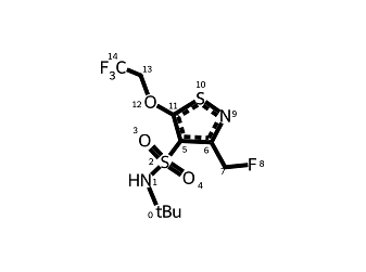 CC(C)(C)NS(=O)(=O)c1c(CF)nsc1OCC(F)(F)F